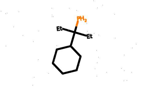 CCC(P)(CC)C1CCCCC1